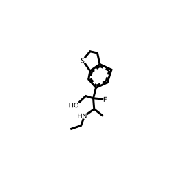 CCNC(C)C(F)(CO)c1ccc2c(c1)SCC2